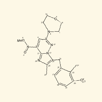 COC(=O)c1cc(N2CCOCC2)nn2c(Cc3cccc(C(F)(F)F)c3C)c(C)nc12